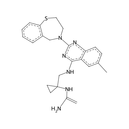 C=C(N)NC1(CNc2nc(N3CCSc4ccccc4C3)nc3ccc(C)cc23)CC1